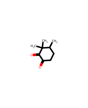 CC1CCC(=O)C(=O)C1(C)C